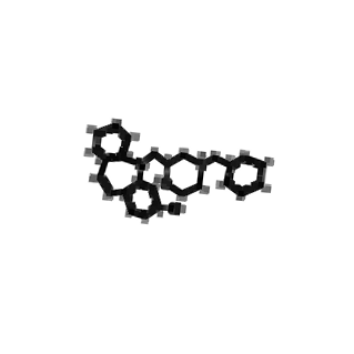 Clc1ccc2c(c1)N(CC1CN(Cc3ccccc3)CCO1)c1ccccc1C=C2